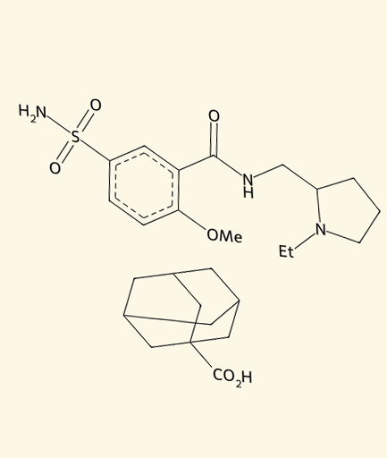 CCN1CCCC1CNC(=O)c1cc(S(N)(=O)=O)ccc1OC.O=C(O)C12CC3CC(CC(C3)C1)C2